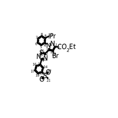 CCOC(=O)c1nn(-c2ccccc2C(C)C)c(-c2nc(-c3cccc(S(C)(=O)=O)c3)ns2)c1Br